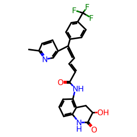 Cc1ccc(C(=CC=CC(=O)Nc2cccc3c2CC(O)C(=O)N3)c2ccc(C(F)(F)F)cc2)cn1